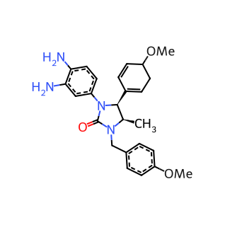 COc1ccc(CN2C(=O)N(c3ccc(N)c(N)c3)[C@@H](C3=CCC(OC)C=C3)[C@H]2C)cc1